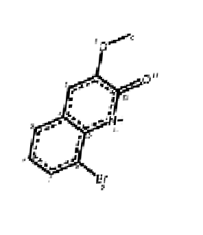 COc1cc2cccc(Br)c2[nH]c1=O